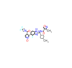 Cc1nocc1C(=O)N[C@H](c1nc2c(F)c(-c3c[n+]([O-])ccc3C(=O)N3CC(F)(F)C3)ccc2[nH]1)C1CCC(C)CC1